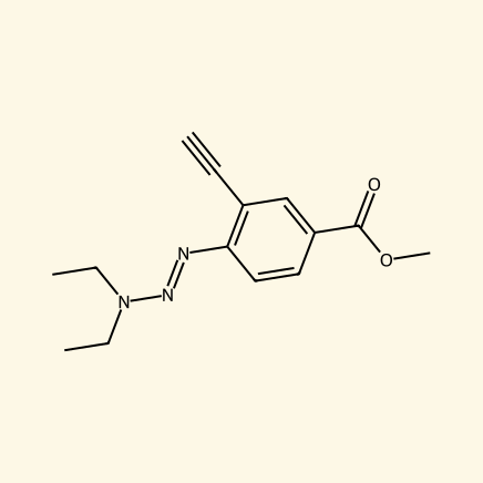 C#Cc1cc(C(=O)OC)ccc1N=NN(CC)CC